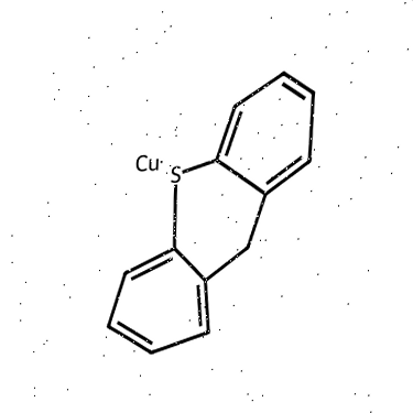 [Cu].c1ccc2c(c1)Cc1ccccc1S2